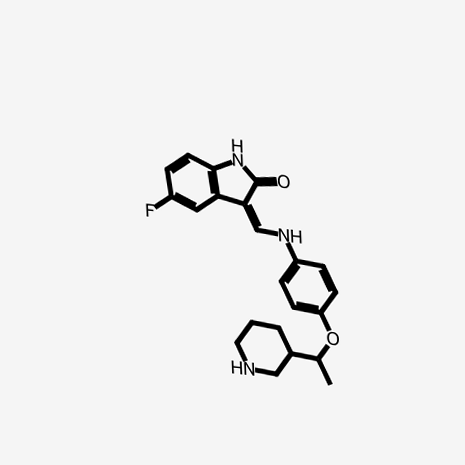 CC(Oc1ccc(NC=C2C(=O)Nc3ccc(F)cc32)cc1)C1CCCNC1